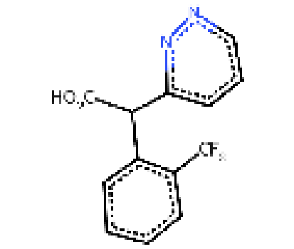 O=C(O)C(c1cccnn1)c1ccccc1C(F)(F)F